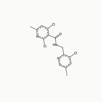 Cc1cc(Cl)c(C(=O)NCc2ncc(I)cc2Cl)c(Cl)n1